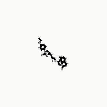 CCOc1ccc(-n2nc(CCCN[C@H]3Cn4c(=O)ccc5ccc(F)c3c54)oc2=O)cc1